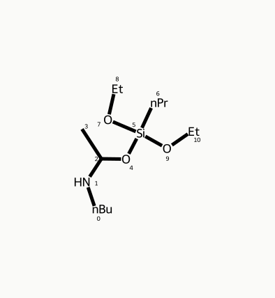 CCCCNC(C)O[Si](CCC)(OCC)OCC